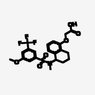 COc1cc(C(F)(F)F)cc(S(=O)(=O)N(C)C2CCCc3c(OCC(=O)O)cccc32)c1